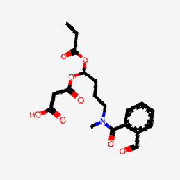 CCC(=O)OC(CCCN(C)C(=O)c1ccccc1C=O)OC(=O)CC(=O)O